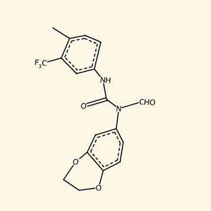 Cc1ccc(NC(=O)N(C=O)c2ccc3c(c2)OCCO3)cc1C(F)(F)F